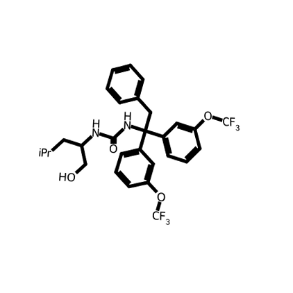 CC(C)CC(CO)NC(=O)NC(Cc1ccccc1)(c1cccc(OC(F)(F)F)c1)c1cccc(OC(F)(F)F)c1